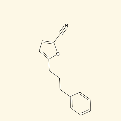 N#Cc1ccc(CCCc2ccccc2)o1